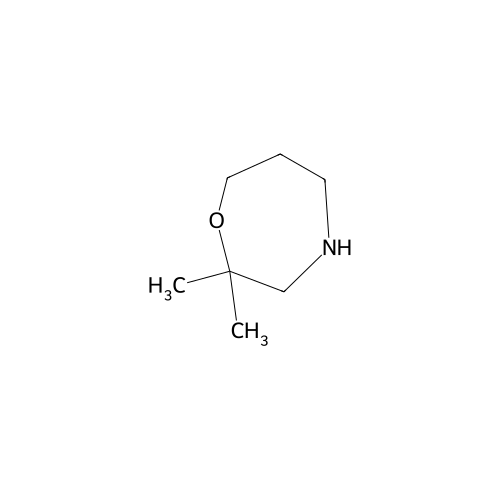 CC1(C)CNCCCO1